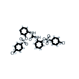 O=C(Nc1ccccc1OS(=O)(=O)c1ccc(Cl)cc1)Nc1ccccc1OS(=O)(=O)c1ccc(Cl)cc1